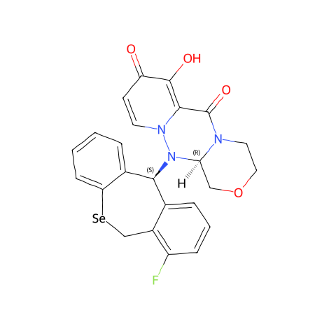 O=C1c2c(O)c(=O)ccn2N([C@@H]2c3ccccc3[Se]Cc3c(F)cccc32)[C@@H]2COCCN12